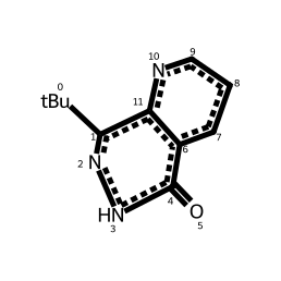 CC(C)(C)c1n[nH]c(=O)c2cccnc12